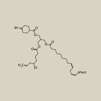 C=CCC(CC)CCCC(=O)OCC(COC(=O)CCCCCCC/C=C\C/C=C\CCCCC)COC(=O)C1CCN(C(C)C)CC1